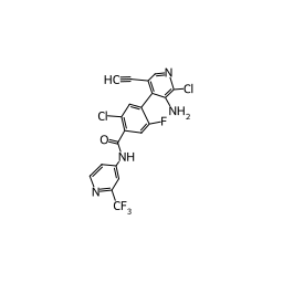 C#Cc1cnc(Cl)c(N)c1-c1cc(Cl)c(C(=O)Nc2ccnc(C(F)(F)F)c2)cc1F